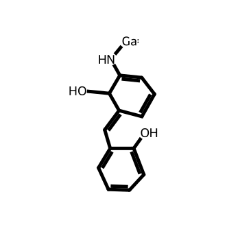 Oc1ccccc1C=C1C=CC=C([NH][Ga])C1O